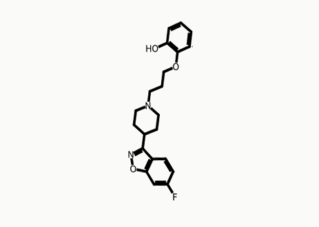 Oc1ccc[c]c1OCCCN1CCC(c2noc3cc(F)ccc23)CC1